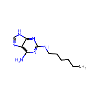 CCCCCCNc1nc(N)c2nc[nH]c2n1